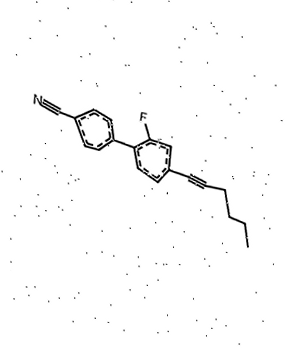 CCCCC#Cc1ccc(-c2ccc(C#N)cc2)c(F)c1